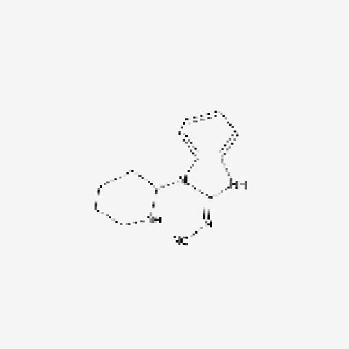 N#CN=c1[nH]c2ccccc2n1C1CCCCN1